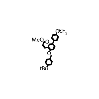 COC(=O)/C=C\c1cc(-c2ccc(OC(F)(F)F)cc2)ccc1OCc1ccc(C(C)(C)C)cc1